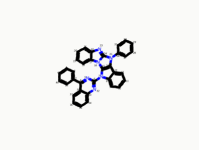 c1ccc(-c2nc(-n3c4ccccc4c4c3n3c5ccccc5nc3n4-c3ccccc3)nc3ccccc23)cc1